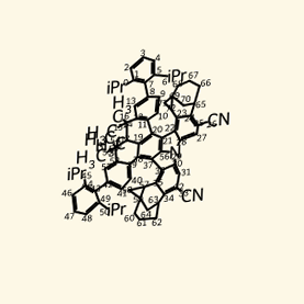 CC(C)c1cccc(C(C)C)c1-c1ccc2c(c1)C(C)(C)C1(C)c3c-2c2c4c5c(c(C#N)cc4n4c6cc(C#N)c7c(c6c(c3-c3ccc(-c6c(C(C)C)cccc6C(C)C)cc3C1(C)C)c24)C1CC12CCCC7C2)C1CCCC2(C1)CC52